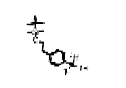 [2H]C([2H])(O)c1ccc(CCO[Si](C)(C)C(C)(C)C)cc1